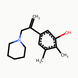 C=C(CN1CCCCC1)c1cc(C)c(C)c(O)c1